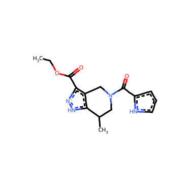 CCOC(=O)c1n[nH]c2c1CN(C(=O)c1ccc[nH]1)CC2C